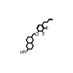 C=CCCC1=C(F)C(F)C(OCC2CCC3CC(CCC)CCC3C2)C=C1